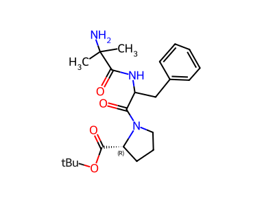 CC(C)(C)OC(=O)[C@H]1CCCN1C(=O)C(Cc1ccccc1)NC(=O)C(C)(C)N